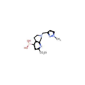 CCOC(=O)c1cc(B(O)O)c2c(n1)CN(Cc1ccn(C)n1)CC2